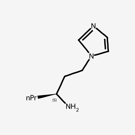 CCC[C@H](N)CCn1ccnc1